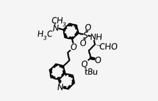 CN(C)c1ccc(S(=O)(=O)N[C@H](C=O)CC(=O)OC(C)(C)C)c(OCCc2cccc3ncccc23)c1